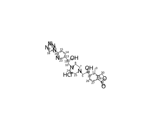 Cc1c([C@@H](O)CN2CCN(C[C@@H](O)c3ccc(-n4cnnn4)nc3)CC2)ccc2c1COC2=O.Cl